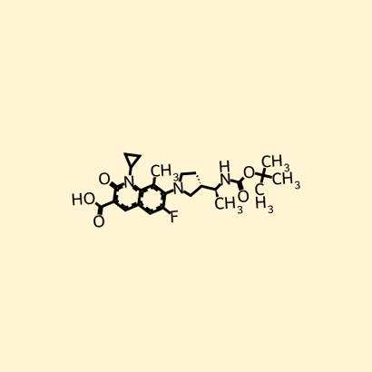 Cc1c(N2CC[C@H]([C@H](C)NC(=O)OC(C)(C)C)C2)c(F)cc2cc(C(=O)O)c(=O)n(C3CC3)c12